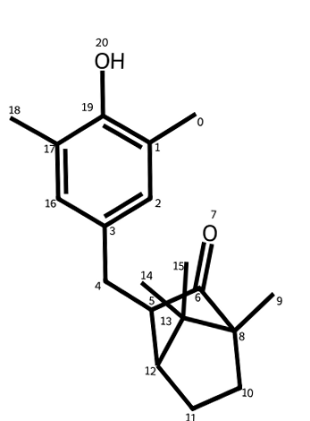 Cc1cc(CC2C(=O)C3(C)CCC2C3(C)C)cc(C)c1O